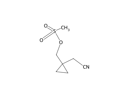 CS(=O)(=O)OCC1(CC#N)CC1